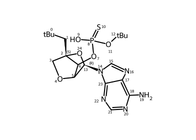 CC(C)(C)C[C@]12COC(C1OP(O)(=S)OC(C)(C)C)[C@H](n1cnc3c(N)ncnc31)O2